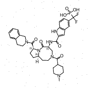 CN1CCC(C(=O)N2CC[C@H]3CC[C@@H](C(=O)N4CCc5ccccc5C4)N3C(=O)[C@@H](NC(=O)c3cc4cc(C(F)(F)P(=O)(O)O)ccc4[nH]3)C2)CC1